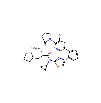 O=C(O)C[C@@H](CC1CCCC1)C(=O)N(c1nc(-c2ccccc2-c2cnc(N3CCCC3=O)c(Cl)c2)cs1)C1CC1